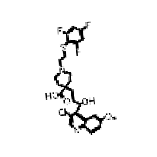 COc1ccc2ncc(Cl)c([C@H](O)CCC3(C(=O)O)CCN(CCSc4c(F)cc(F)cc4F)CC3)c2c1